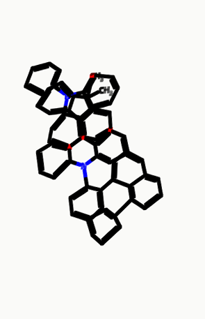 CC1(C)c2ccccc2-c2c(-c3ccccc3N(c3ccccc3-c3cccc4cccc(-c5ccccc5)c34)c3ccccc3-c3cccc4c3c3ccccc3n4-c3ccccc3)cccc21